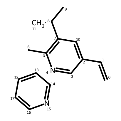 C=Cc1cnc(C)c(CC)c1.[CH3].c1ccncc1